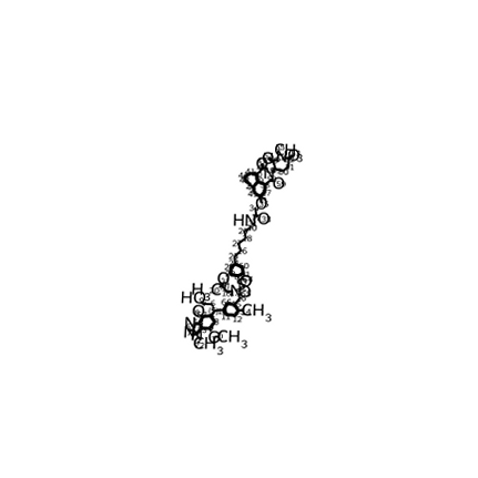 COc1cc([C@@H](CC(=O)O)c2ccc(C)c(CN3C[C@@H](C)Oc4cc(CCCCCCNC(=O)COc5cc6c7c(cccc7c5)C(=O)N(C5CCC(=O)N(C)C5=O)C6=O)ccc4S3(=O)=O)c2)cc2nnn(C)c12